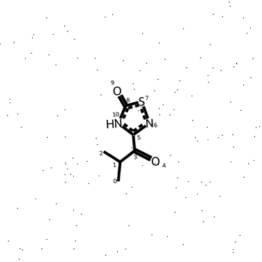 CC(C)C(=O)c1nsc(=O)[nH]1